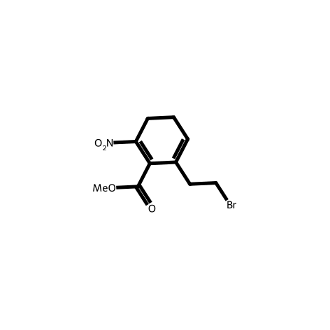 COC(=O)C1=C([N+](=O)[O-])CCC=C1CCBr